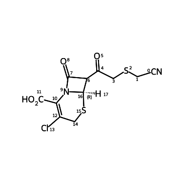 N#CCSCC(=O)C1C(=O)N2C(C(=O)O)=C(Cl)CS[C@H]12